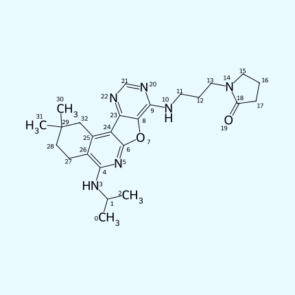 CC(C)Nc1nc2oc3c(NCCCN4CCCC4=O)ncnc3c2c2c1CCC(C)(C)C2